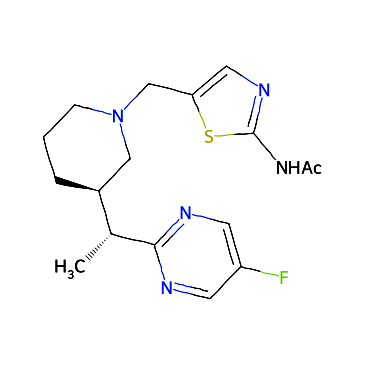 CC(=O)Nc1ncc(CN2CCC[C@H]([C@@H](C)c3ncc(F)cn3)C2)s1